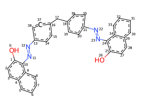 Oc1ccc2ccccc2c1N=Nc1ccc(Cc2ccc(N=Nc3c(O)ccc4ccccc34)cc2)cc1